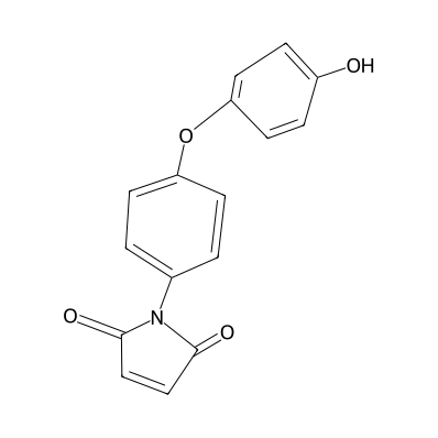 O=C1C=CC(=O)N1c1ccc(Oc2ccc(O)cc2)cc1